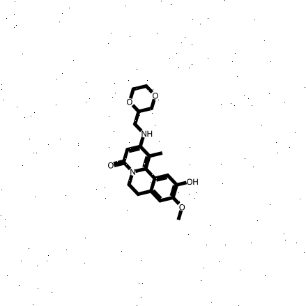 COc1cc2c(cc1O)-c1c(C)c(NCC3COCCO3)cc(=O)n1CC2